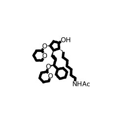 CC(=O)NCCCCCCC[C@H]1C(O)C[C@@H](OC2CCCCO2)[C@@H]1/C=C/[C@H](OC1CCCCO1)C1CCCCC1